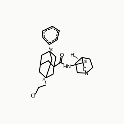 O=C(N[C@@H]1CN2CCC1CC2)C12CC3C[C@](CCCl)(C1)C[C@@](c1ccccc1)(C3)C2